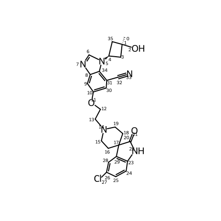 C[C@]1(O)C[C@@H](n2cnc3cc(OCCN4CCC5(CC4)C(=O)Nc4ccc(Cl)cc45)cc(C#N)c32)C1